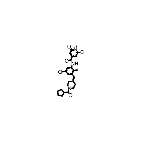 Cc1c(C=C2CCN(C(=O)C3CCCC3)CC2)cc(Cl)cc1NC(=O)c1cc(Cl)n(C)c(=O)c1